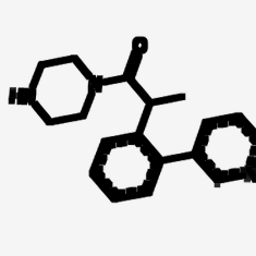 CC(C(=O)N1CCNCC1)c1ccccc1-c1[c]nccc1